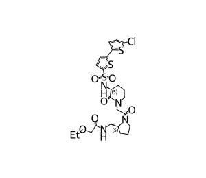 CCOCC(=O)NC[C@@H]1CCCN1C(=O)CN1CCC[C@H](NS(=O)(=O)c2ccc(-c3ccc(Cl)s3)s2)C1=O